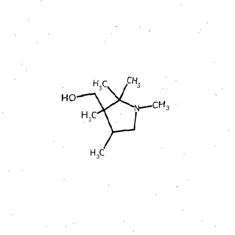 CC1CN(C)C(C)(C)C1(C)CO